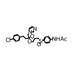 CC(=O)Nc1ccc([S+]([O-])CC2COC(CCc3ccc(Cl)cc3)(Cn3ccnc3)O2)cc1